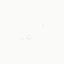 C=CCCCCC(CO)C(=O)N[C@@H](CC(=O)OCC)c1ccc(OC)nc1